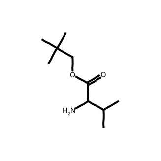 CC(C)C(N)C(=O)OCC(C)(C)C